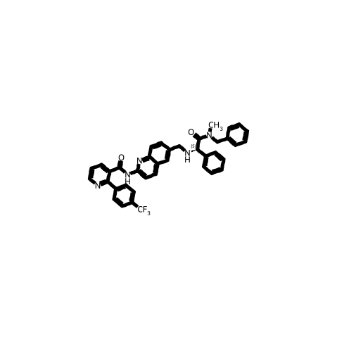 CN(Cc1ccccc1)C(=O)[C@@H](NCc1ccc2nc(NC(=O)c3cccnc3-c3ccc(C(F)(F)F)cc3)ccc2c1)c1ccccc1